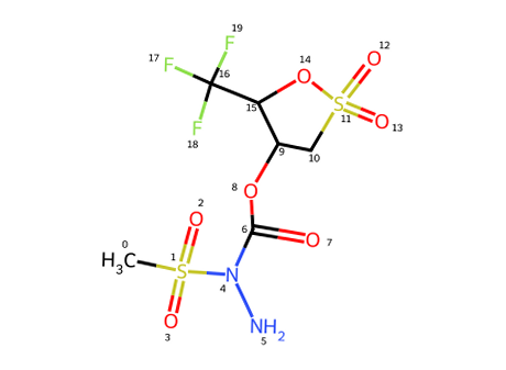 CS(=O)(=O)N(N)C(=O)OC1CS(=O)(=O)OC1C(F)(F)F